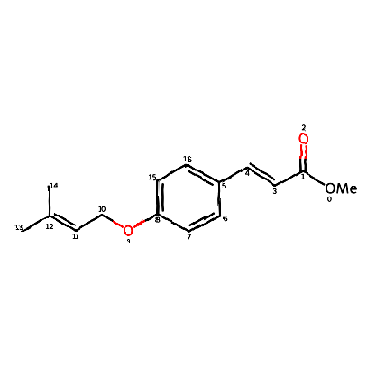 COC(=O)/C=C/c1ccc(OCC=C(C)C)cc1